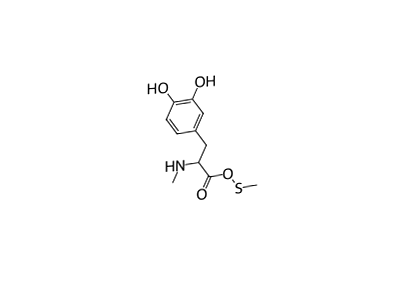 CNC(Cc1ccc(O)c(O)c1)C(=O)OSC